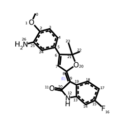 COc1ccc(C2=C/C(=C3\C(=O)Nc4cc(F)ccc43)OC2(C)C)cc1N